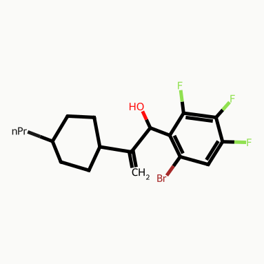 C=C(C1CCC(CCC)CC1)C(O)c1c(Br)cc(F)c(F)c1F